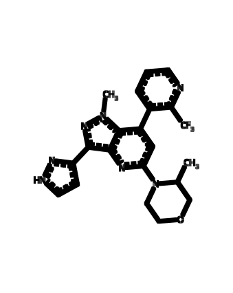 CC1COCCN1c1cc(-c2cccnc2C(F)(F)F)c2c(n1)c(-c1cc[nH]n1)nn2C